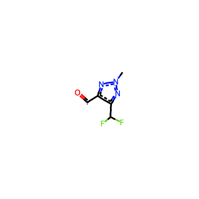 Cn1nc([C]=O)c(C(F)F)n1